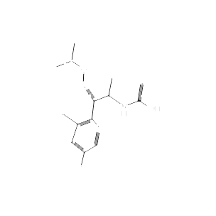 CC(C)ON=C(c1ncc(Cl)cc1Cl)C(C)NC(=O)O